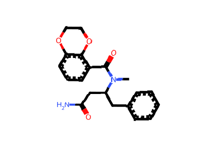 CN(C(=O)c1cccc2c1OCCO2)C(CC(N)=O)Cc1ccccc1